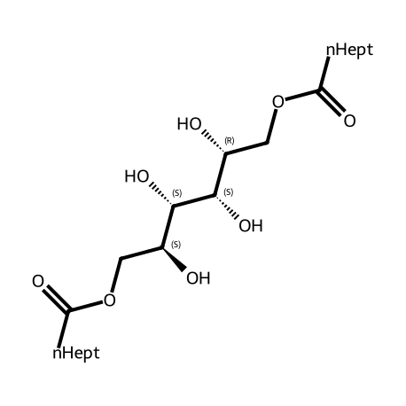 CCCCCCCC(=O)OC[C@@H](O)[C@H](O)[C@@H](O)[C@@H](O)COC(=O)CCCCCCC